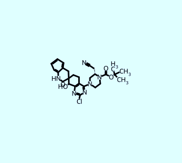 CC(C)(C)OC(=O)N1CCN(c2nc(Cl)nc3c2CCC2(Cc4ccccc4NC2=O)C3O)C[C@@H]1CC#N